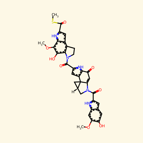 COc1cc2[nH]c(C(=O)N3C[C@@H]4CC45C3=CC(=O)c3[nH]c(C(=O)N4CCc6c4c(O)c(OC)c4[nH]c(C(=O)SC)cc64)cc35)cc2cc1O